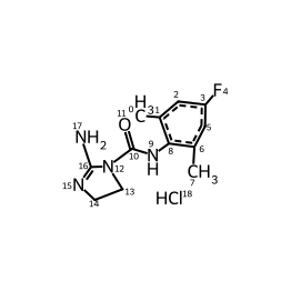 Cc1cc(F)cc(C)c1NC(=O)N1CCN=C1N.Cl